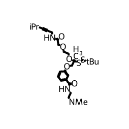 CNCCNC(=O)c1cccc(OCC(C)(OCCOCC(=O)NCC#CC(C)C)SSC(C)(C)C)c1